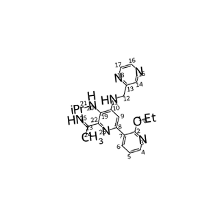 CCOc1ncccc1-c1cc(NCc2cnccn2)c(NC(C)C)c(C(C)=N)n1